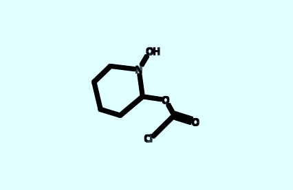 O=C(Cl)OC1CCCCN1O